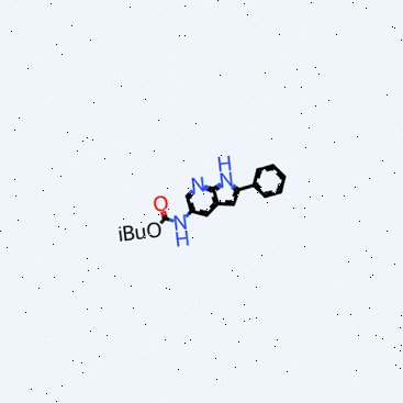 CC(C)COC(=O)Nc1cnc2[nH]c(-c3ccccc3)cc2c1